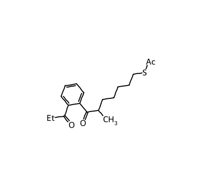 CCC(=O)c1ccccc1C(=O)C(C)CCCCCSC(C)=O